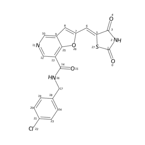 O=C1NC(=O)C(=Cc2cc3cncc(C(=O)NCc4ccc(Cl)cc4)c3o2)S1